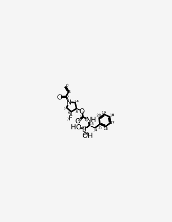 C=CC(=O)N1C[C@H](F)[C@H](OC(=O)N[C@@H](Cc2ccccc2)B(O)O)C1